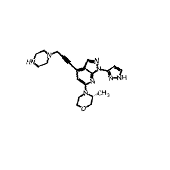 C[C@@H]1COCCN1c1cc(C#CCN2CCNCC2)c2cnn(-c3cc[nH]n3)c2n1